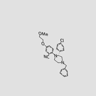 COCCOc1ccc(N2CCN(Cc3ccccc3)C[C@H]2c2ccc(Cl)cc2)c(C#N)c1